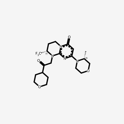 C[C@@H]1COCCN1c1cc(=O)n2c(n1)N(CC(=O)C1CCOCC1)[C@H](C(F)(F)F)CC2